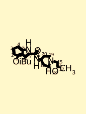 CC(C)COc1cccc2[nH]c(C(=O)NC3CCN(C[C@H](C)O)CC3)cc12